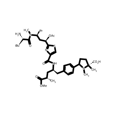 CC[C@H](C)[C@H](N)C(=O)N(C)[C@H](C[C@@H](OC(C)=O)c1nc(C(=O)N[C@@H](Cc2ccc(C3CC[C@](C)(C(=O)O)N3C)cc2)C[C@H](C)C(=O)OC)cs1)C(C)C